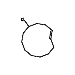 ClC1CC/C=C/CCCCCCC1